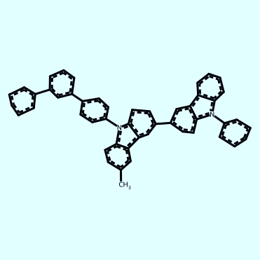 Cc1ccc2c(c1)c1cc(-c3ccc4c(c3)c3ccccc3n4-c3ccccc3)ccc1n2-c1ccc(-c2cccc(-c3ccccc3)c2)cc1